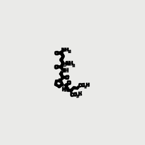 NC(=O)CC[C@H](N)C(=O)NCC(=O)N1CCC[C@H]1C(=O)N[C@@H](CCC(=O)O)C(=O)O